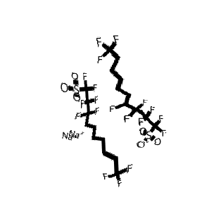 O=S(=O)([O-])C(F)(F)C(F)(F)C(F)(F)C(F)CCCCCC(F)(F)F.O=S(=O)([O-])C(F)(F)C(F)(F)C(F)(F)CCCCCCC(F)(F)F.[Na+].[Na+]